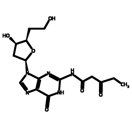 CCC(=O)CC(=O)Nc1nc2c(ncn2[C@H]2C[C@@H](O)[C@@H](CCO)O2)c(=O)[nH]1